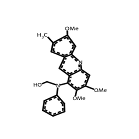 COc1cc2nc3cc(OC)c(OC)c(N(CO)c4ccccc4)c3cc2cc1C